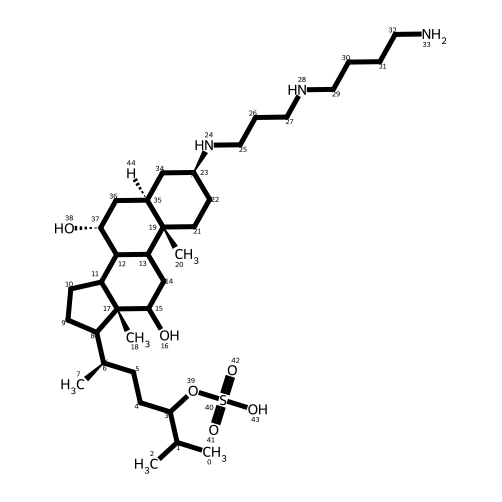 CC(C)C(CC[C@@H](C)C1CCC2C3C(CC(O)[C@@]21C)[C@@]1(C)CC[C@H](NCCCNCCCCN)C[C@@H]1C[C@H]3O)OS(=O)(=O)O